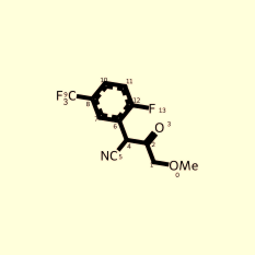 COCC(=O)C(C#N)c1cc(C(F)(F)F)ccc1F